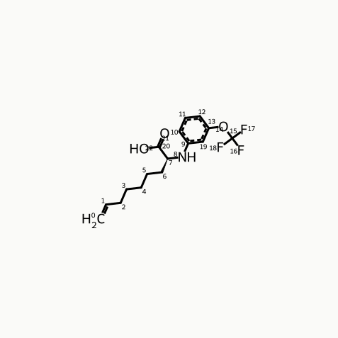 C=CCCCCC[C@H](Nc1cccc(OC(F)(F)F)c1)C(=O)O